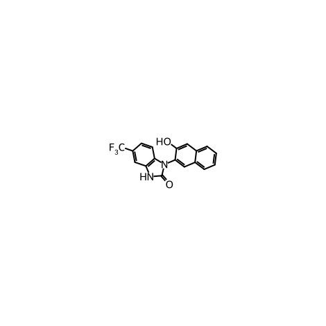 O=c1[nH]c2cc(C(F)(F)F)ccc2n1-c1cc2ccccc2cc1O